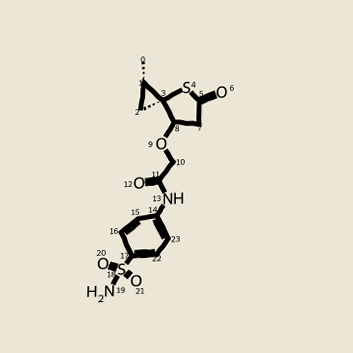 C[C@H]1C[C@@]12SC(=O)CC2OCC(=O)Nc1ccc(S(N)(=O)=O)cc1